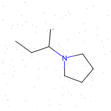 [CH2]C(CC)N1CCCC1